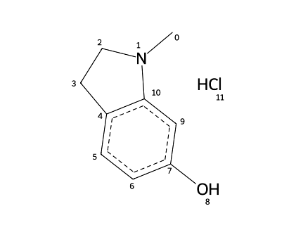 CN1CCc2ccc(O)cc21.Cl